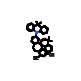 CC1(C)c2ccccc2N(c2ccc3c(c2)C2(c4ccccc4C(C)(C)c4ccccc42)c2cc(C#N)cc(C#N)c2CC3)c2ccccc21